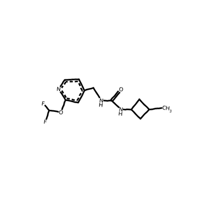 CC1CC(NC(=O)NCc2ccnc(OC(F)F)c2)C1